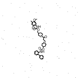 COc1cc(NC(=O)OCC2CCN(C(=O)CCN3CCC(OC(=O)Nc4ccccc4-c4ccccc4)CC3)CC2)c(Cl)cc1C